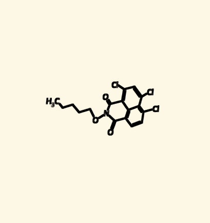 CCCCCON1C(=O)c2ccc(Cl)c3c(Cl)cc(Cl)c(c23)C1=O